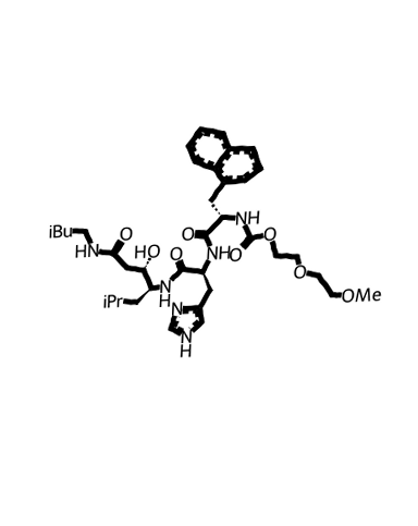 CCC(C)CNC(=O)C[C@H](O)[C@H](CC(C)C)NC(=O)[C@H](Cc1c[nH]cn1)NC(=O)[C@H](Cc1cccc2ccccc12)NC(=O)OCCOCCOC